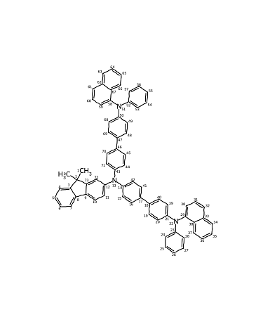 CC1(C)c2ccccc2-c2ccc(N(c3ccc(-c4ccc(N(c5ccccc5)c5cccc6ccccc56)cc4)cc3)c3ccc(-c4ccc(N(c5ccccc5)c5cccc6ccccc56)cc4)cc3)cc21